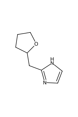 c1c[nH]c(CC2CCCO2)n1